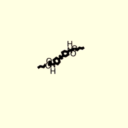 CCCCOC(=O)NC1CCC(C(C)(C)C2CCC(NC(=O)OCCCC)CC2)CC1